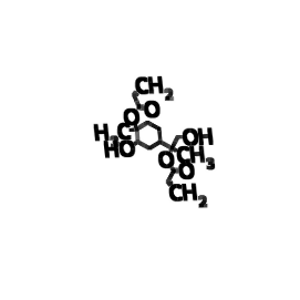 C=CC(=O)OC1(C)CCC(C(C)(CO)OC(=O)C=C)CC1O